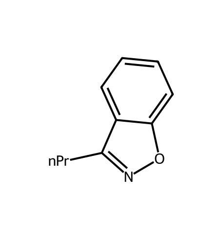 [CH2]CCc1noc2ccccc12